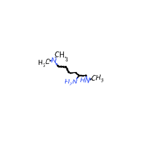 CNCC(N)CCCCN(C)C